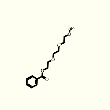 CCCOCCOCCOCCOC(=O)c1ccccc1